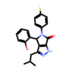 CC(C)Cc1n[nH]c2c1C(c1ccccc1Br)N(c1ccc(F)cc1)C2=O